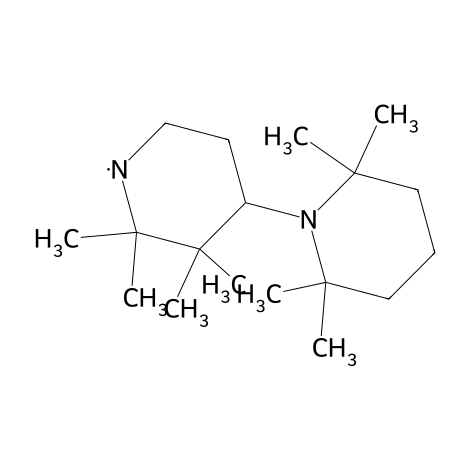 CC1(C)CCCC(C)(C)N1C1CC[N]C(C)(C)C1(C)C